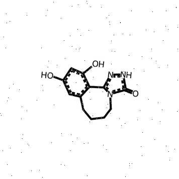 O=c1[nH]nc2n1CCCCc1cc(O)cc(O)c1-2